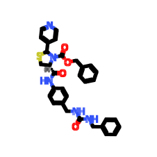 O=C(NCc1ccccc1)NCc1ccc(NC(=O)[C@@H]2CSC(c3ccncc3)N2C(=O)OCc2ccccc2)cc1